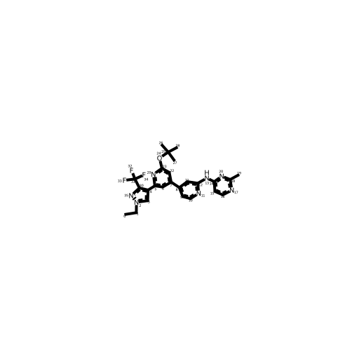 CCn1cc(-c2cc(-c3ccnc(Nc4ccnc(C)n4)c3)cc(OC(C)(C)C)n2)c(C(F)(F)F)n1